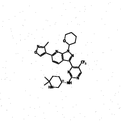 Cc1nocc1-c1ccc2c(-c3nc(N[C@H]4CCC(C)(C)NC4)ncc3C(F)(F)F)nn(C3CCCCO3)c2n1